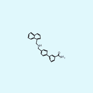 NC(=O)c1cccc(-c2ccc(CNCc3cccc4ccccc34)cc2)c1